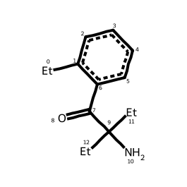 CCc1ccccc1C(=O)C(N)(CC)CC